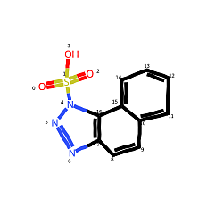 O=S(=O)(O)n1nnc2ccc3ccccc3c21